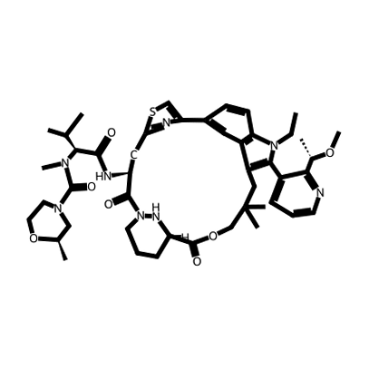 CCn1c(-c2cccnc2[C@H](C)OC)c2c3cc(ccc31)-c1csc(n1)C[C@H](NC(=O)[C@H](C(C)C)N(C)C(=O)N1CCO[C@H](C)C1)C(=O)N1CCC[C@H](N1)C(=O)OCC(C)(C)C2